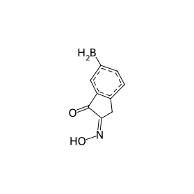 Bc1ccc2c(c1)C(=O)/C(=N\O)C2